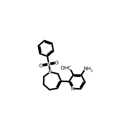 Nc1ccnc(C2=CCCCN(S(=O)(=O)c3ccccc3)C2)c1C=O